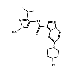 CC(C)N1CCN(c2ccn3ncc(C(=O)Nc4cn(C)nc4C(F)F)c3n2)CC1